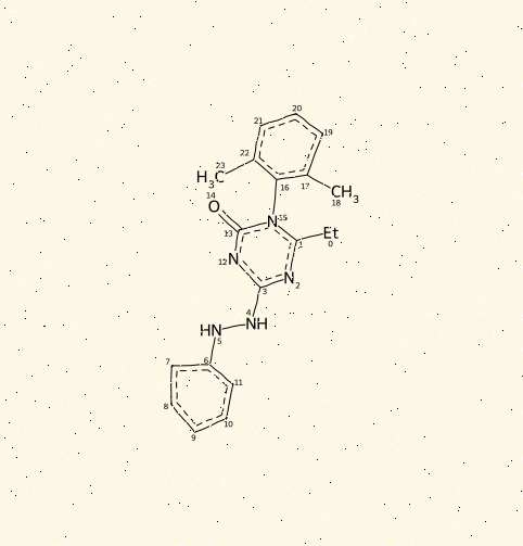 CCc1nc(NNc2ccccc2)nc(=O)n1-c1c(C)cccc1C